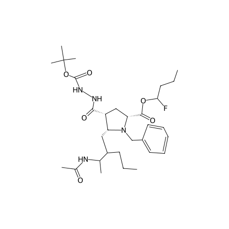 CCCC(F)OC(=O)[C@H]1C[C@@H](C(=O)NNC(=O)OC(C)(C)C)[C@@H](CC(CCC)C(C)NC(C)=O)N1Cc1ccccc1